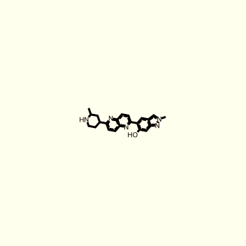 CC1CC(c2ccc3nc(-c4cc5cn(C)nc5cc4O)ccc3n2)CCN1